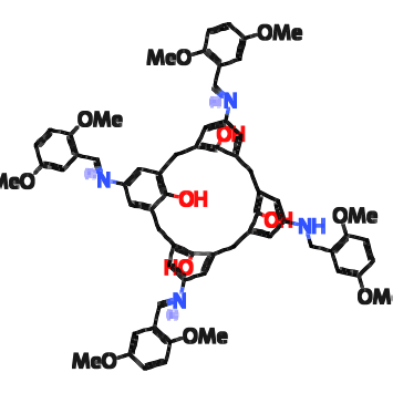 COc1ccc(OC)c(/C=N/c2cc3c(O)c(c2)Cc2cc(/N=C/c4cc(OC)ccc4OC)cc(c2O)Cc2cc(NCc4cc(OC)ccc4OC)cc(c2O)Cc2cc(/N=C/c4cc(OC)ccc4OC)cc(c2O)C3)c1